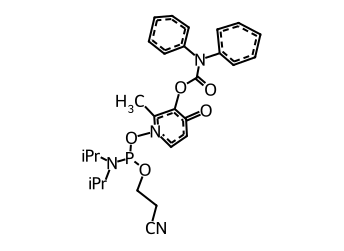 Cc1c(OC(=O)N(c2ccccc2)c2ccccc2)c(=O)ccn1OP(OCCC#N)N(C(C)C)C(C)C